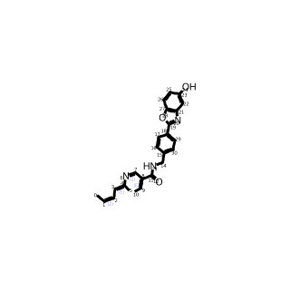 C\C=C/C=C(C)/N=C\C(=C/C)C(=O)NCc1ccc(-c2nc3cc(O)ccc3o2)cc1